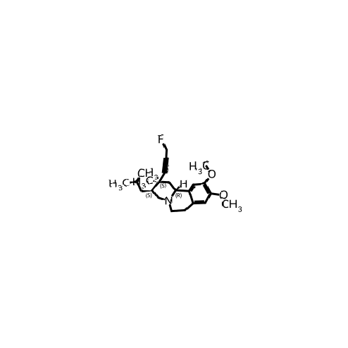 COc1cc2c(cc1OC)[C@H]1C[C@](C)(C#CCF)[C@H](CC(C)C)CN1CC2